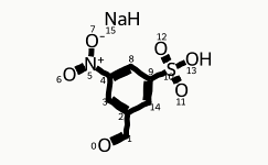 O=Cc1cc([N+](=O)[O-])cc(S(=O)(=O)O)c1.[NaH]